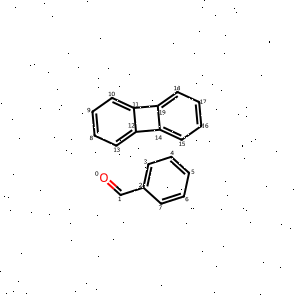 O=Cc1ccccc1.c1ccc2c(c1)-c1ccccc1-2